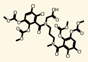 COC(=O)Oc1cc(Cl)c(Cl)c(C(=O)N(C)CCCN(CC(=O)O)C(=O)c2c(Cl)c(Cl)cc(OC(=O)OC)c2OC(=O)OC)c1OC(=O)OC